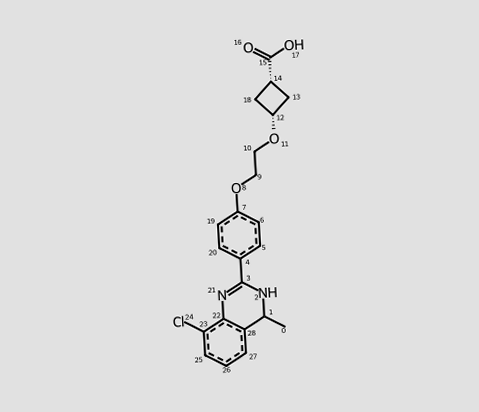 CC1NC(c2ccc(OCCO[C@H]3C[C@@H](C(=O)O)C3)cc2)=Nc2c(Cl)cccc21